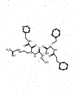 C[C@@H](O)[C@@H](NC(=O)[C@H](CCc1ccccc1)NC(=O)CCc1ccccc1)C(=O)N[C@@H](CCCNC(=N)N)C(=O)C(=O)NCc1cccnc1